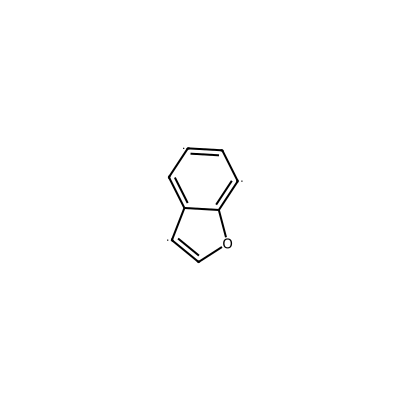 [c]1c[c]c2oc[c]c2c1